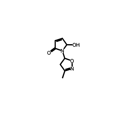 CC1=NOC(N2C(=O)C=CC2O)C1